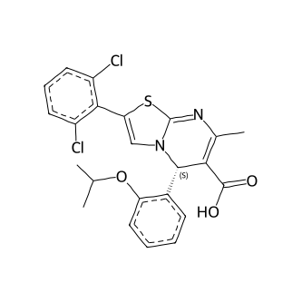 CC1=C(C(=O)O)[C@H](c2ccccc2OC(C)C)N2C=C(c3c(Cl)cccc3Cl)SC2=N1